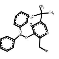 CC(C)(C)c1coc(CBr)c(O[SiH](c2ccccc2)c2ccccc2)c1=O